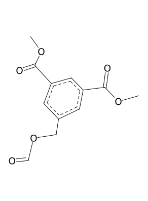 COC(=O)c1cc(COC=O)cc(C(=O)OC)c1